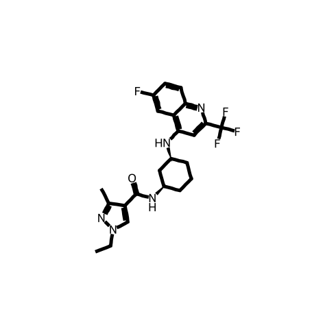 CCn1cc(C(=O)N[C@@H]2CCC[C@H](Nc3cc(C(F)(F)F)nc4ccc(F)cc34)C2)c(C)n1